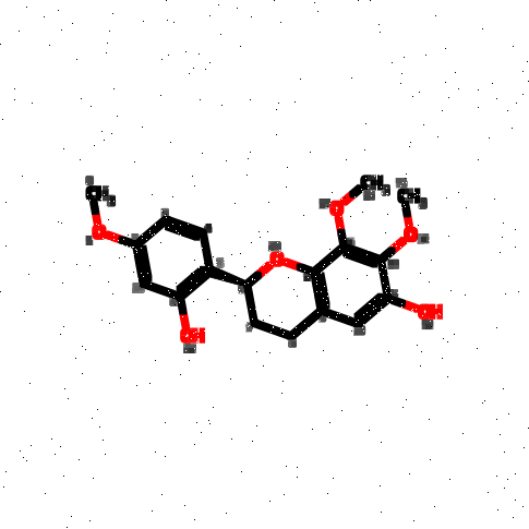 COc1ccc([C@@H]2CCc3cc(O)c(OC)c(OC)c3O2)c(O)c1